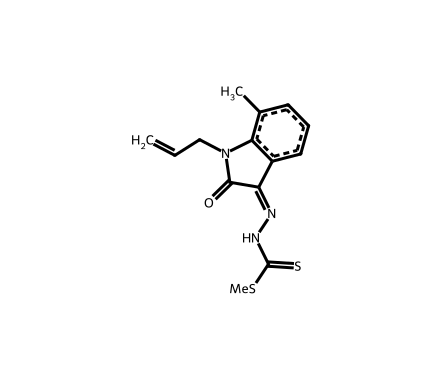 C=CCN1C(=O)C(=NNC(=S)SC)c2cccc(C)c21